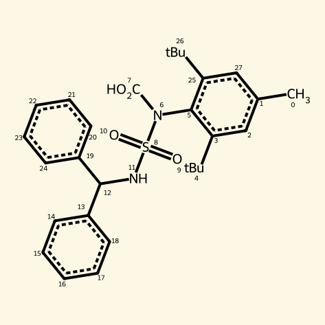 Cc1cc(C(C)(C)C)c(N(C(=O)O)S(=O)(=O)NC(c2ccccc2)c2ccccc2)c(C(C)(C)C)c1